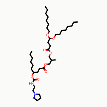 [CH2]C(COC(=O)CCC(CCCCCC)OC(=O)NCCN1CCCC1)COC(=O)CCC(OCCCCCCCC)OCCCCCCCC